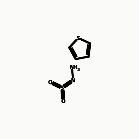 NN=S(=O)=O.c1ccsc1